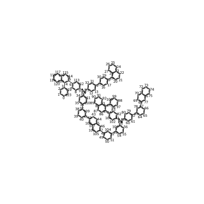 c1ccc(-c2c(-c3ccc(N(c4ccc(-c5ccc(-c6cccc7ccccc67)cc5)cc4)c4ccc(-c5cccc(-c6ccc7cc(-c8cccc(-c9cccc(N(c%10ccc(-c%11cccc(-c%12ccc%13ccccc%13c%12)c%11)cc%10)c%10ccc(-c%11ccc%12ccccc%12c%11-c%11ccccc%11)cc%10)c9)c8)ccc7c6)c5)cc4)cc3)ccc3ccccc23)cc1